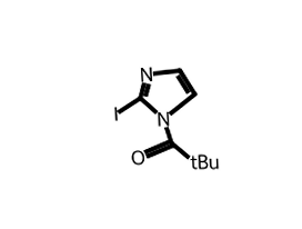 CC(C)(C)C(=O)n1ccnc1I